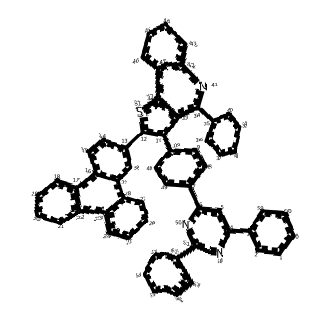 c1ccc(-c2cc(-c3ccc(-c4c(-c5ccc6c7ccccc7c7ccccc7c6c5)sc5c4c(-c4ccccc4)nc4ccccc45)cc3)nc(-c3ccccc3)n2)cc1